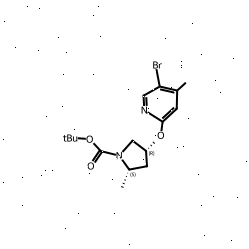 Cc1cc(O[C@@H]2C[C@H](C)N(C(=O)OC(C)(C)C)C2)ncc1Br